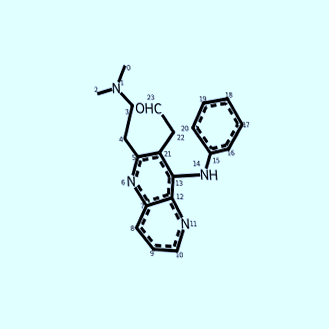 CN(C)CCc1nc2cccnc2c(Nc2ccccc2)c1CC=O